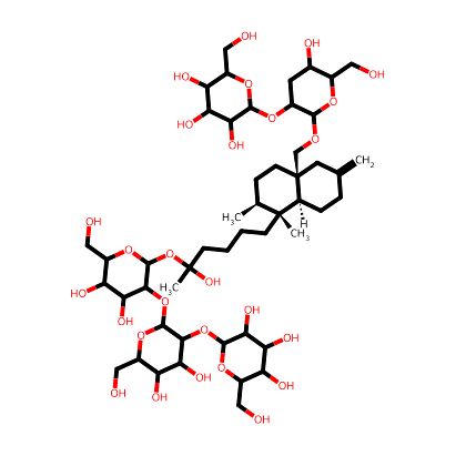 C=C1CC[C@@H]2[C@](COC3OC(CO)C(O)CC3OC3OC(CO)C(O)C(O)C3O)(CC[C@H](C)[C@@]2(C)CCCCC(C)(O)OC2OC(CO)C(O)C(O)C2OC2OC(CO)C(O)C(O)C2OC2OC(CO)C(O)C(O)C2O)C1